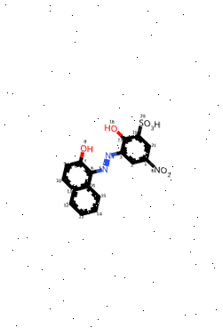 O=[N+]([O-])c1cc(N=Nc2c(O)ccc3ccccc23)c(O)c(S(=O)(=O)O)c1